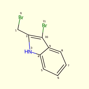 BrCc1[nH]c2ccccc2c1Br